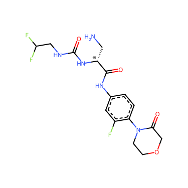 NC[C@@H](NC(=O)NCC(F)F)C(=O)Nc1ccc(N2CCOCC2=O)c(F)c1